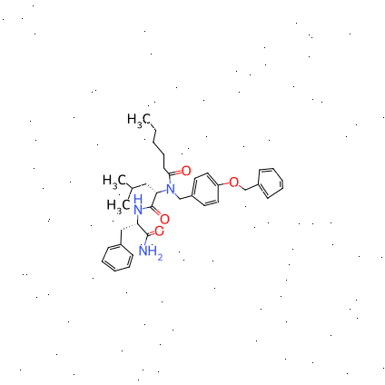 CCCCCC(=O)N(Cc1ccc(OCc2ccccc2)cc1)[C@@H](CC(C)C)C(=O)N[C@@H](Cc1ccccc1)C(N)=O